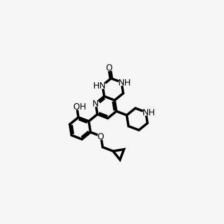 O=C1NCc2c(C3CCCNC3)cc(-c3c(O)cccc3OCC3CC3)nc2N1